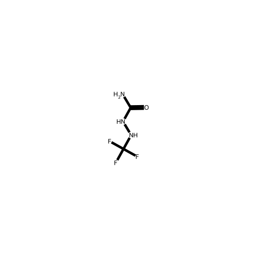 NC(=O)NNC(F)(F)F